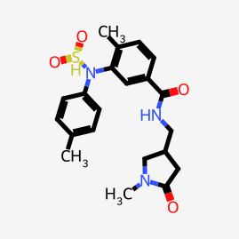 Cc1ccc(N(c2cc(C(=O)NCC3CC(=O)N(C)C3)ccc2C)[SH](=O)=O)cc1